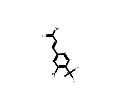 O=C(O)C=Cc1ccc(C(F)(F)F)c(Br)c1